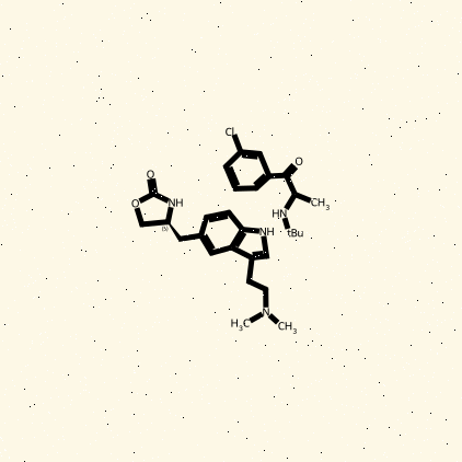 CC(NC(C)(C)C)C(=O)c1cccc(Cl)c1.CN(C)CCc1c[nH]c2ccc(C[C@H]3COC(=O)N3)cc12